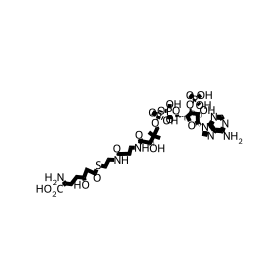 CC(C)(COP(=O)(O)OP(=O)(O)OC[C@H]1O[C@@H](n2cnc3c(N)ncnc32)[C@H](O)[C@@H]1OP(=O)(O)O)[C@@H](O)C(=O)NCCC(=O)NCCSC(=O)CC(O)CCC(N)C(=O)O